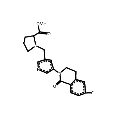 COC(=O)C1CCCN1Cc1cncc(N2CCc3cc(Cl)ccc3C2=O)c1